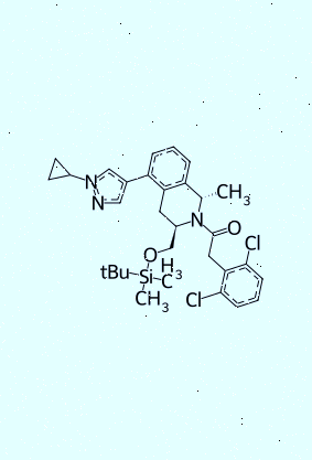 C[C@H]1c2cccc(-c3cnn(C4CC4)c3)c2C[C@H](CO[Si](C)(C)C(C)(C)C)N1C(=O)Cc1c(Cl)cccc1Cl